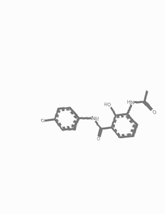 CC(=O)Nc1cccc(C(=O)Nc2ccc(Cl)cc2)c1O